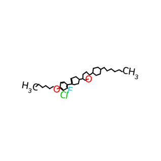 CCCCCCCC1CCC(C2CCC(C3CC=C(c4ccc(OCCCCCC)c(Cl)c4F)CC3)CO2)CC1